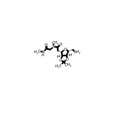 CNC(=O)CN(C)C(=O)C[C@@H]1O[C@H](CN)[C@H]2OC(C)(C)O[C@H]21